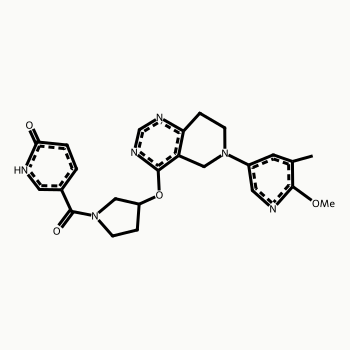 COc1ncc(N2CCc3ncnc(OC4CCN(C(=O)c5ccc(=O)[nH]c5)C4)c3C2)cc1C